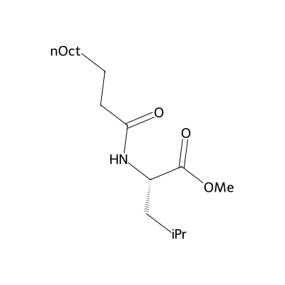 CCCCCCCCCCC(=O)N[C@@H](CC(C)C)C(=O)OC